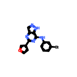 CCc1cccc(Nc2nc(-c3ccoc3)nc3cn[nH]c23)c1